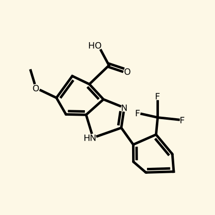 COc1cc(C(=O)O)c2nc(-c3ccccc3C(F)(F)F)[nH]c2c1